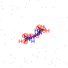 O=C(O)c1cc2c3c(cc(C(=O)O)cc3c1)-c1nc3cc(C(=O)Nc4ccc(NC(=O)c5ccc6nc7c(nc6c5)-c5cc(C(=O)O)cc6cc(C(=O)O)cc-7c56)cc4)ccc3nc1-2